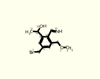 COCc1cc(CBr)cc(C(C)O)c1C=N